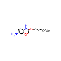 COCCCCO[C@H]1COC2=CC(N)=CCC2N1